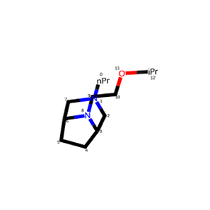 CCCN1CC2CCC(C1)N2CCOC(C)C